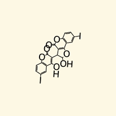 O=c1oc2ccc(I)cc2c(O)c1C1c2c(c3cc(I)ccc3oc2=O)OC1O